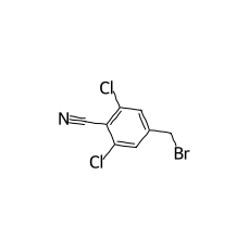 N#Cc1c(Cl)cc(CBr)cc1Cl